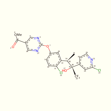 COC(=O)c1cnc(Oc2ccc(Cl)c([C@@H](C)[C@@](O)(c3ccnc(Cl)c3)C(F)(F)F)c2)nc1